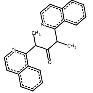 CC(C(=O)C(C)c1nccc2ccccc12)c1nccc2ccccc12